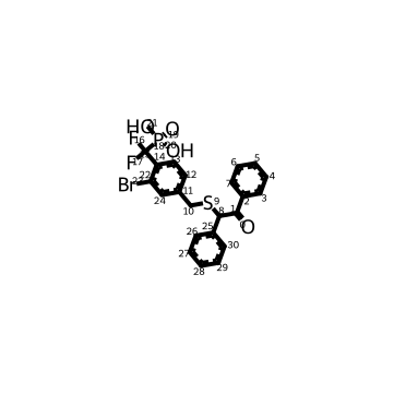 O=C(c1ccccc1)C(SCc1ccc(C(F)(F)P(=O)(O)O)c(Br)c1)c1ccccc1